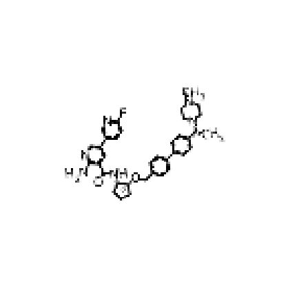 C[C@H](c1ccc(-c2ccc(CO[C@H]3CCC[C@@H]3NC(=O)c3cc(-c4ccc(F)nc4)cnc3N)cc2)cc1)N1CCN(C)CC1